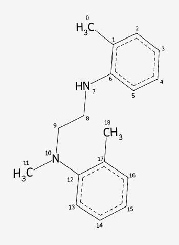 Cc1ccccc1NCCN(C)c1ccccc1C